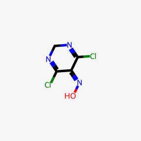 ON=C1C(Cl)=NCN=C1Cl